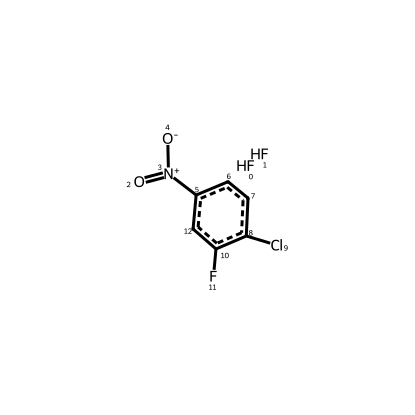 F.F.O=[N+]([O-])c1ccc(Cl)c(F)c1